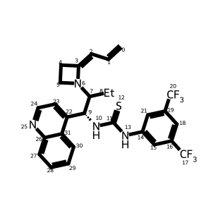 C=C/C=C1/CCN1C(CC)[C@H](NC(=S)Nc1cc(C(F)(F)F)cc(C(F)(F)F)c1)c1ccnc2ccccc12